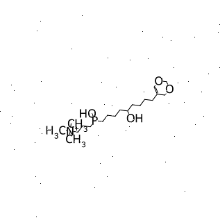 C[N+](C)(C)CCCP(O)CCCCC(O)CCCCC1=COCOC1